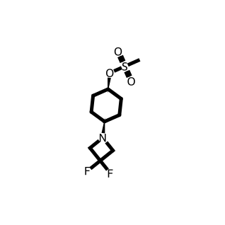 CS(=O)(=O)O[C@H]1CC[C@@H](N2CC(F)(F)C2)CC1